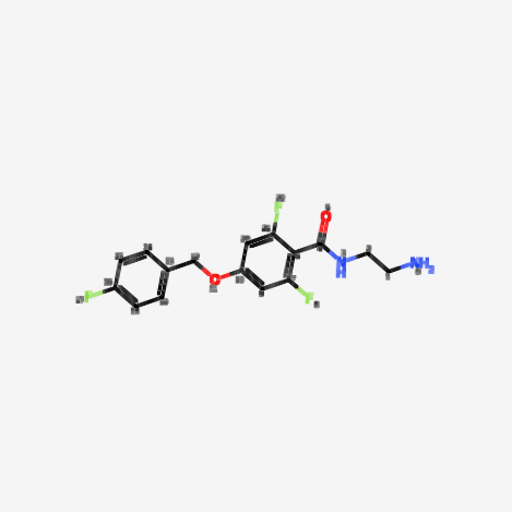 NCCNC(=O)c1c(F)cc(OCc2ccc(F)cc2)cc1F